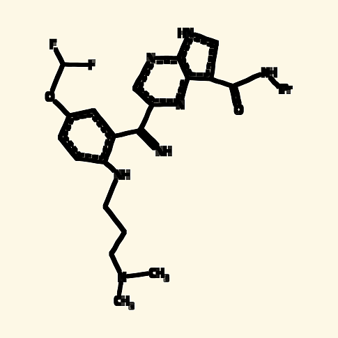 CC(C)NC(=O)c1c[nH]c2ncc(C(=N)c3cc(OC(F)F)ccc3NCCCN(C)C)nc12